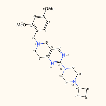 COc1ccc(CN2CCc3nc(N4CCN(C5CCC5)CC4)ncc3C2)c(OC)c1